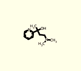 CN(C)CCC(C)(O)c1ccccn1